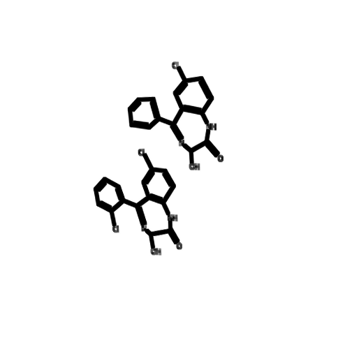 O=C1Nc2ccc(Cl)cc2C(c2ccccc2)=NC1O.O=C1Nc2ccc(Cl)cc2C(c2ccccc2Cl)=NC1O